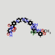 CS(=O)(=O)c1cccc(CNc2nc(Nc3ccc(N4CCN(CC5CCN(c6ccc7c(c6)C(=O)N(N6CCC(=O)NC6=O)C7=O)CC5)CC4)cc3)ncc2C(F)(F)F)c1